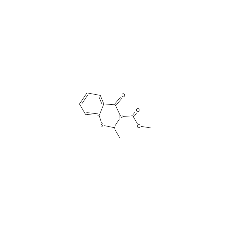 COC(=O)N1C(=O)c2ccccc2SC1C